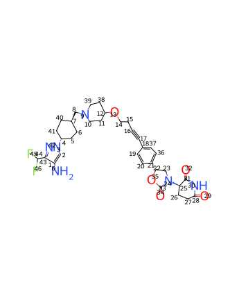 Nc1cn([C@H]2CC[C@H](CN3CCC(OCCC#Cc4ccc([C@@H]5CN([C@@H]6CCC(=O)NC6=O)C(=O)O5)cc4)CC3)CC2)nc1C(F)F